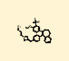 CCOc1ccc(C2=C(c3ccc(C=C4CN(CCCF)C4)cc3)c3ccccc3CCC2)cc1C(F)(F)F